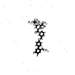 COc1cc(F)c(F)cc1-c1ccc(OCC2CCCN(C(=O)[C@H](CC(=O)OC(C)(C)C)NCC(C)=O)C2)cc1